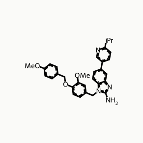 COc1ccc(COc2ccc(Cn3c(N)nc4cc(-c5ccc(C(C)C)nc5)ccc43)cc2OC)cc1